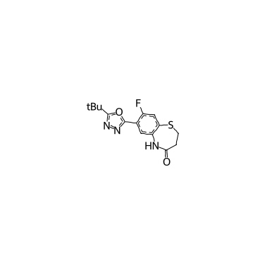 CC(C)(C)c1nnc(-c2cc3c(cc2F)SCCC(=O)N3)o1